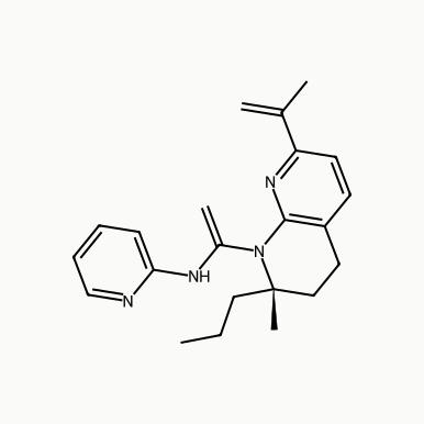 C=C(C)c1ccc2c(n1)N(C(=C)Nc1ccccn1)[C@@](C)(CCC)CC2